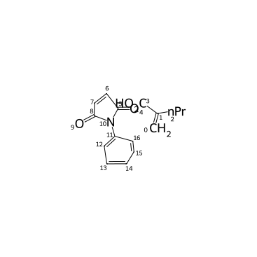 C=C(CCC)C(=O)O.O=C1C=CC(=O)N1c1ccccc1